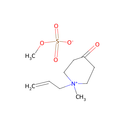 C=CC[N+]1(C)CCC(=O)CC1.COS(=O)(=O)[O-]